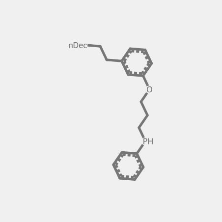 CCCCCCCCCCCCc1cccc(OCCCPc2ccccc2)c1